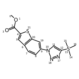 COC(=O)c1cc2ccc(-n3cc(S(C)(C)C)nn3)cc2s1